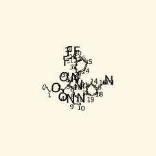 CCOC(=O)c1c(-c2nccn2-c2ccc(C#N)cc2)n(C)n(-c2cccc(C(F)(F)F)c2)c1=O